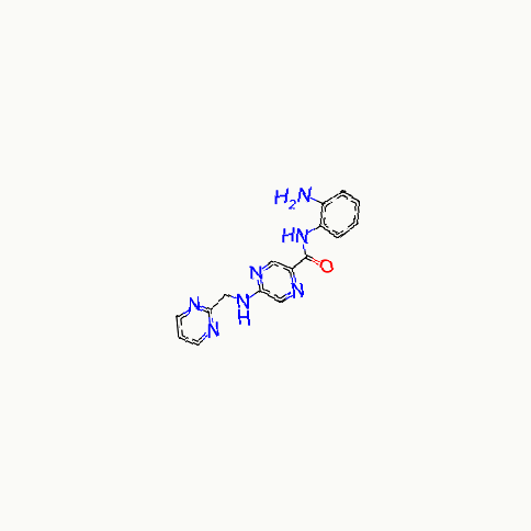 Nc1ccccc1NC(=O)c1cnc(NCc2ncccn2)cn1